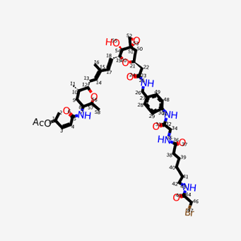 CC(=O)OC(C)/C=C\C(=O)NC1C[C@H](C)[C@H](C/C=C(C)/C=C/[C@H]2O[C@H](CC(=O)NCc3ccc(NC(=O)CNC(=O)CCCCCNC(=O)CBr)cc3)CC3(CO3)[C@@H]2O)OC1C